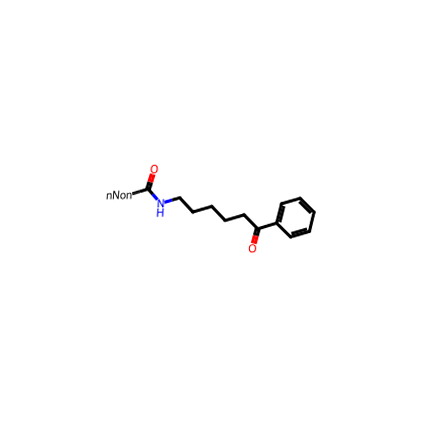 CCCCCCCCCC(=O)NCCCCCC(=O)c1ccccc1